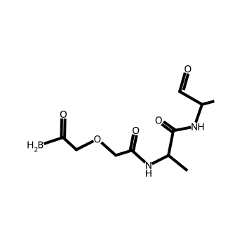 BC(=O)COCC(=O)NC(C)C(=O)NC(C)C=O